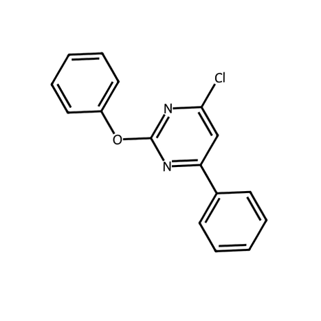 Clc1cc(-c2ccccc2)nc(Oc2ccccc2)n1